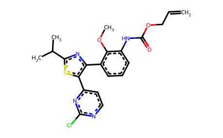 C=CCOC(=O)Nc1cccc(-c2nc(C(C)C)sc2-c2ccnc(Cl)n2)c1OC